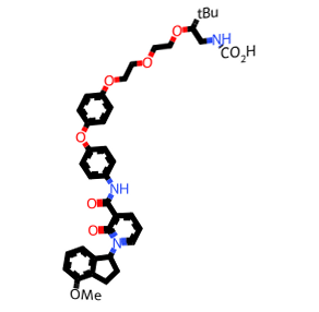 COc1cccc2c1CCC2n1cccc(C(=O)Nc2ccc(Oc3ccc(OCCOCCOC(CNC(=O)O)C(C)(C)C)cc3)cc2)c1=O